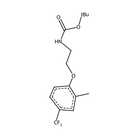 Cc1cc(C(F)(F)F)ccc1OCCNC(=O)OC(C)(C)C